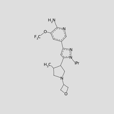 CC1CN(C2COC2)CC1c1cc(-c2cnc(N)c(OC(F)(F)F)c2)nn1C(C)C